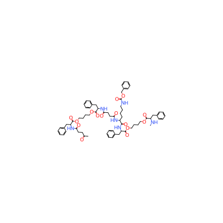 CNC(Cc1ccccc1)C(=O)OCCCCOC(=O)C(Cc1ccccc1)NC(=O)C(CCCCNC(=O)OCc1ccccc1)NC(=O)CCC(=O)NC(Cc1ccccc1)C(=O)OCCCCOC(=O)C(Cc1ccccc1)NC(=O)CCC(C)=O